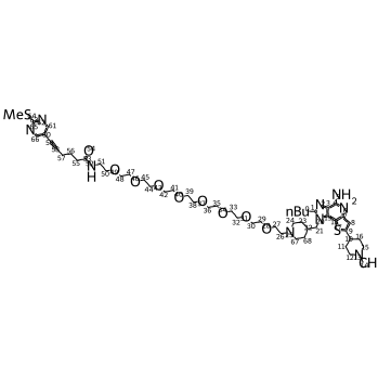 CCCCc1nc2c(N)nc3cc(C4CCN(C)CC4)sc3c2n1CC1CCN(CCOCCOCCOCCOCCOCCOCCOCCOCCNC(=O)CCCC#Cc2cnc(SC)nc2)CC1